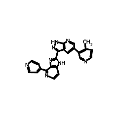 Cc1ccncc1-c1cnc2[nH]nc(-c3nc4c(-c5ccncc5)nccc4[nH]3)c2c1